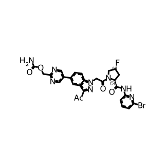 CC(=O)c1nn(CC(=O)N2C[C@H](F)C[C@H]2C(=O)Nc2cccc(Br)n2)c2ccc(-c3cnc(COC(N)=O)nc3)cc12